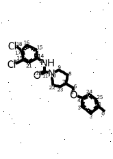 Cc1ccc(OCC2CCN(C(=O)Nc3ccc(Cl)c(Cl)c3)CC2)cc1